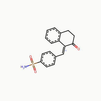 NS(=O)(=O)c1ccc(/C=C2/C(=O)CCc3ccccc32)cc1